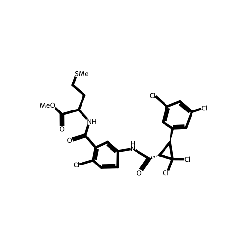 COC(=O)C(CCSC)NC(=O)c1cc(NC(=O)[C@@H]2[C@@H](c3cc(Cl)cc(Cl)c3)C2(Cl)Cl)ccc1Cl